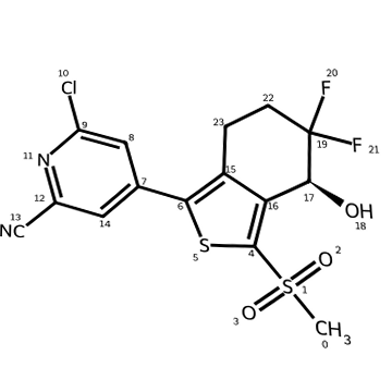 CS(=O)(=O)c1sc(-c2cc(Cl)nc(C#N)c2)c2c1[C@H](O)C(F)(F)CC2